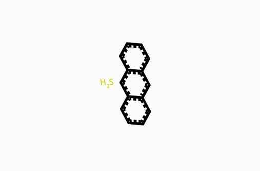 S.c1ccc2cc3ccccc3cc2c1